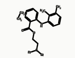 CC(=O)O.CCN(CC)CCOC(=O)c1ccccc1Nc1cccc(C)c1C